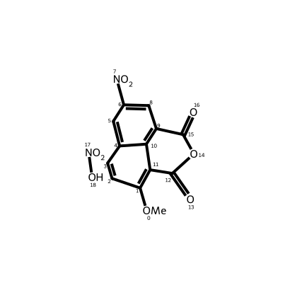 COc1ccc2cc([N+](=O)[O-])cc3c2c1C(=O)OC3=O.O=[N+]([O-])O